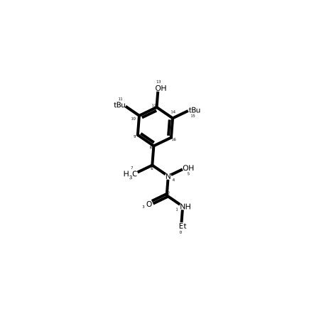 CCNC(=O)N(O)C(C)c1cc(C(C)(C)C)c(O)c(C(C)(C)C)c1